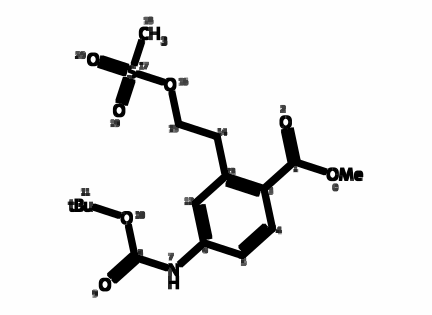 COC(=O)c1ccc(NC(=O)OC(C)(C)C)cc1CCOS(C)(=O)=O